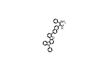 CN/C(=C(\N)c1ccccc1)c1ccc2cc(-c3cccc4c3oc3ccc5c(c6ccccc6n5-c5ccccc5)c34)ccc2c1